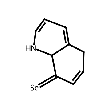 [Se]=C1C=CCC2=CC=CNC12